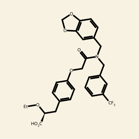 CCO[C@@H](Cc1ccc(OCC(=O)N(Cc2cccc(C(F)(F)F)c2)Cc2ccc3c(c2)OCO3)cc1)C(=O)O